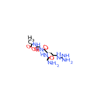 C[C@H](NC(=O)CNC(=O)[C@H](CCCNC(=N)N)NC(=O)CN)C(=O)O